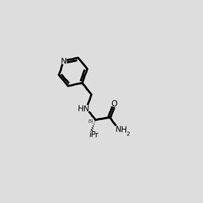 CC(C)[C@H](NCc1ccncc1)C(N)=O